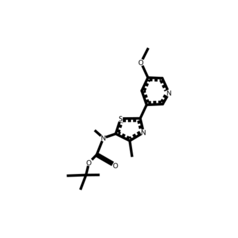 COc1cncc(-c2nc(C)c(N(C)C(=O)OC(C)(C)C)s2)c1